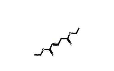 CCOC(=O)/C=C/CC(=O)OCC